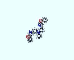 c1ccc(N(c2cccc(-c3cc4c(cn3)oc3ccccc34)c2)c2cccc(-c3cc4c(cn3)oc3ccccc34)c2)cc1